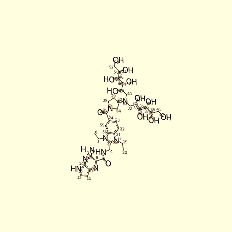 CCn1c(CNC(=O)c2nc3cc[nH]c3nc2N)[n+](CC)c2ccc(C(=O)N3CC[C@@H](N(C[C@H](O)[C@@H](O)[C@H](O)[C@H](O)CO)C[C@H](O)[C@@H](O)[C@H](O)[C@H](O)CO)C3)cc21